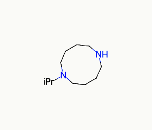 CC(C)N1CCCCNCCCC1